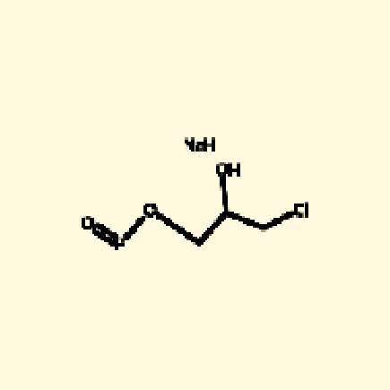 O=POCC(O)CCl.[NaH]